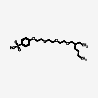 CCCCC(CC)COCCOCCOCCOc1ccc(S(=O)(=O)O)cc1